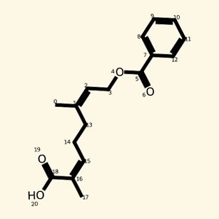 CC(=CCOC(=O)c1ccccc1)CCC=C(C)C(=O)O